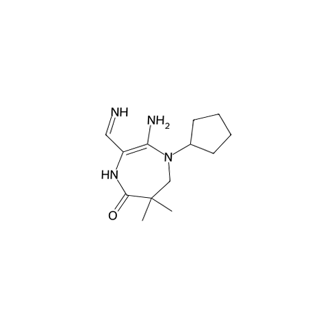 CC1(C)CN(C2CCCC2)C(N)=C(C=N)NC1=O